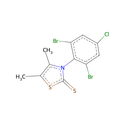 Cc1sc(=S)n(-c2c(Br)cc(Cl)cc2Br)c1C